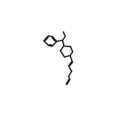 C=CCC/C=C/C1CCC(C(CC)c2ccccc2)CC1